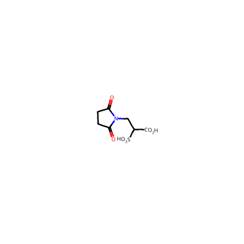 O=C(O)C(CN1C(=O)CCC1=O)S(=O)(=O)O